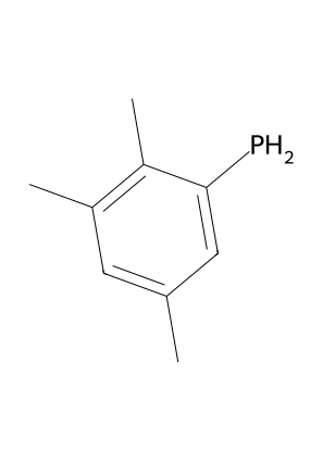 Cc1cc(C)c(C)c(P)c1